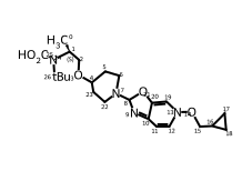 C[C@@H](COC1CCN(C2N=C3C=CN(OCC4CC4)C=C3O2)CC1)N(C(=O)O)C(C)(C)C